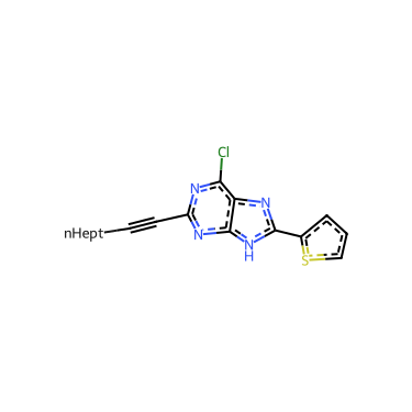 CCCCCCCC#Cc1nc(Cl)c2nc(-c3cccs3)[nH]c2n1